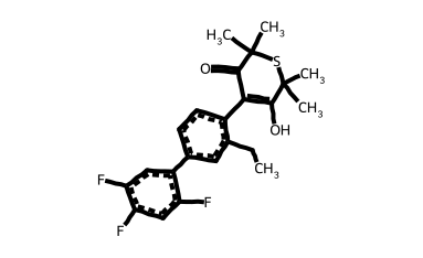 CCc1cc(-c2cc(F)c(F)cc2F)ccc1C1=C(O)C(C)(C)SC(C)(C)C1=O